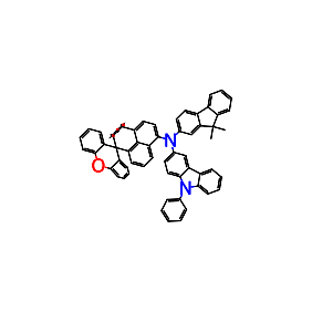 CC1(C)c2ccccc2-c2ccc(N(c3ccc4c(c3)c3ccccc3n4-c3ccccc3)c3ccc4c5c(cccc35)C3(c5ccccc5Oc5ccccc53)c3ccccc3-4)cc21